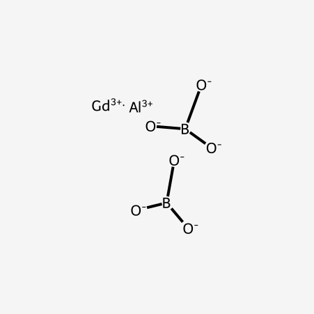 [Al+3].[Gd+3].[O-]B([O-])[O-].[O-]B([O-])[O-]